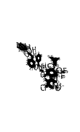 O=C(CNC(=O)c1cccc(NC(C(=O)O[C@H]2CN3CCC2CC3)c2ccccc2)c1)O[C@@H](Cc1c(Cl)c[n+]([O-])cc1Cl)c1ccc(OC(F)F)c(OCC2CC2)c1